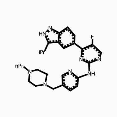 CCCN1CCN(Cc2ccc(Nc3ncc(F)c(-c4ccc5n[nH]c(C(C)C)c5c4)n3)nc2)CC1